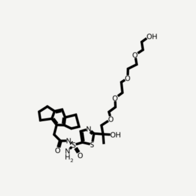 CC(O)(COCCOCCOCCOCCO)c1ncc(S(N)(=O)=NC(=O)Cc2c3c(cc4c2CCC4)CCC3)s1